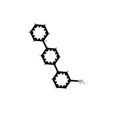 O=[N+]([O-])c1cc[c]c(-c2ccc(-c3ccccc3)cc2)c1